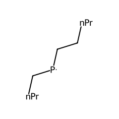 CCCCC[P]CCCC